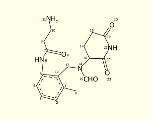 Cc1cccc(NC(=O)CCN)c1CN(C=O)C1CCC(=O)NC1=O